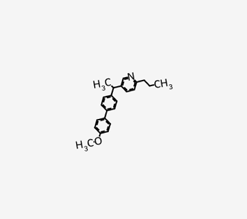 CCCc1ccc(C(C)c2ccc(-c3ccc(OC)cc3)cc2)cn1